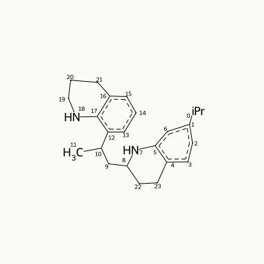 CC(C)c1ccc2c(c1)NC(CC(C)c1cccc3c1NCCC3)CC2